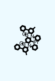 Cc1cc2c3c(c1)N(c1ccccc1)c1c(cc4c(c1C(C)C)N(c1ccccc1)c1cc(C)cc5c1B4Oc1ccccc1-5)B3Oc1ccccc1-2